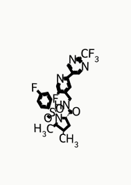 CC1[C@@H](C)C[C@@H](C(=O)NCc2cc(-c3cnc(C(F)(F)F)nc3)ncc2F)N1S(=O)(=O)c1ccc(F)cc1